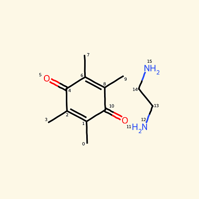 CC1=C(C)C(=O)C(C)=C(C)C1=O.NCCN